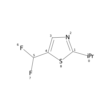 CC(C)c1ncc(C(F)F)s1